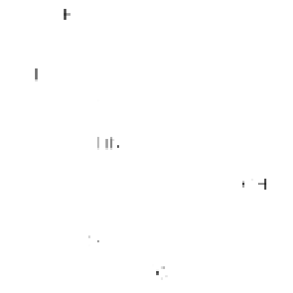 CCOC(=O)CC(C)(O)CC1NC2C1CC2(F)F